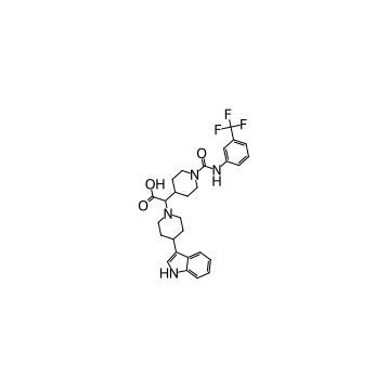 O=C(O)C(C1CCN(C(=O)Nc2cccc(C(F)(F)F)c2)CC1)N1CCC(c2c[nH]c3ccccc23)CC1